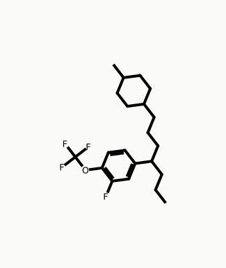 CCCC(CCCC1CCC(C)CC1)c1ccc(OC(F)(F)F)c(F)c1